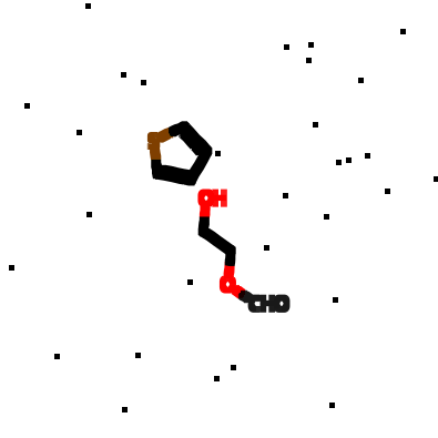 O=COCCO.c1ccsc1